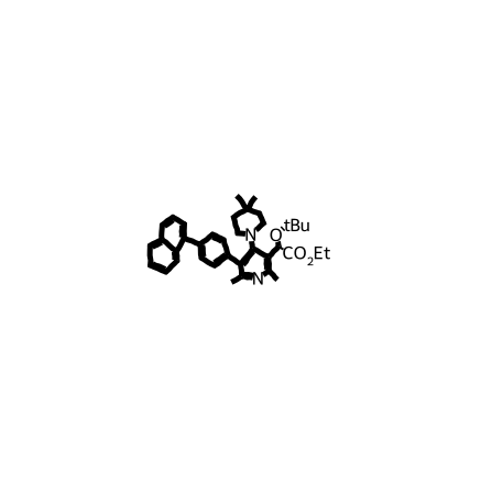 CCOC(=O)[C@@H](OC(C)(C)C)c1c(C)nc(C)c(-c2ccc(-c3cccc4ccccc34)cc2)c1N1CCC(C)(C)CC1